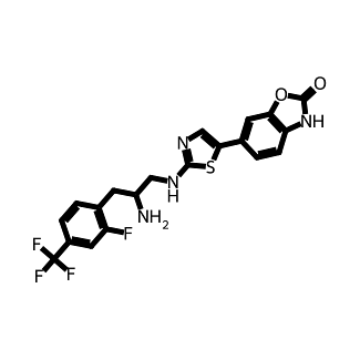 NC(CNc1ncc(-c2ccc3[nH]c(=O)oc3c2)s1)Cc1ccc(C(F)(F)F)cc1F